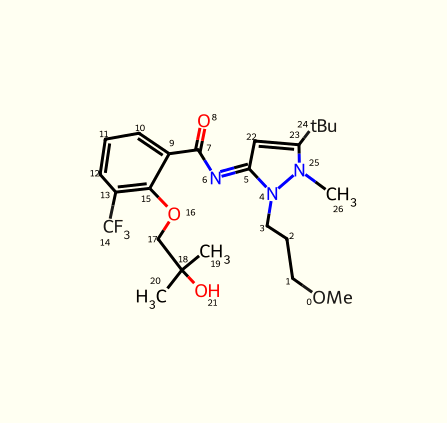 COCCCn1/c(=N/C(=O)c2cccc(C(F)(F)F)c2OCC(C)(C)O)cc(C(C)(C)C)n1C